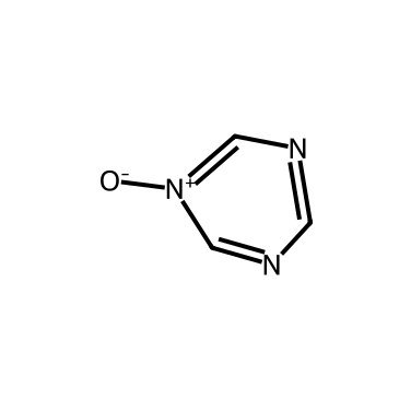 [O-][n+]1cncnc1